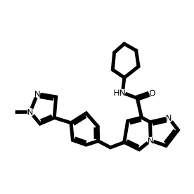 Cn1cc(-c2ccc(Cc3cc(C(=O)NC4CCCCC4)c4nccn4c3)cc2)cn1